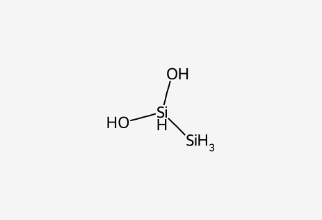 O[SiH](O)[SiH3]